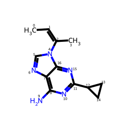 C/C=C(/C)n1cnc2c(N)nc(C3CC3)nc21